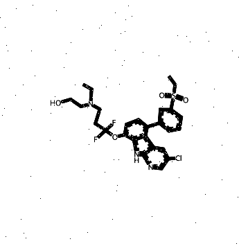 CCN(CCO)CCC(F)(F)Oc1ccc(-c2cccc(S(=O)(=O)CC)c2)c2c1[nH]c1ncc(Cl)cc12